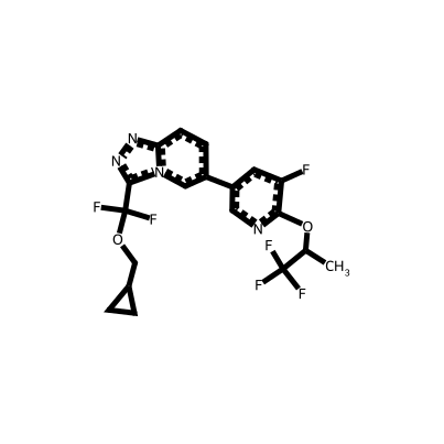 CC(Oc1ncc(-c2ccc3nnc(C(F)(F)OCC4CC4)n3c2)cc1F)C(F)(F)F